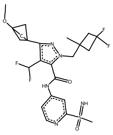 COC12CC(c3nn(CC4(C)CC(F)(F)C4)c(C(=O)Nc4ccnc(S(C)(=N)=O)c4)c3C(F)F)(C1)C2